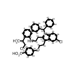 CC(CCl)c1ccccc1NCCc1c(CCOc2ccc(C(=O)O)cc2)c2cc(Cl)ccc2n1C(c1ccccc1)c1ccccc1